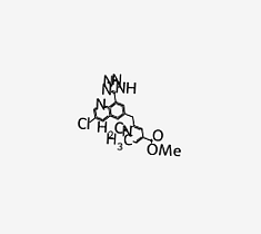 C=N/C(=C\C(=C/C)C(=O)OC)Cc1cc(-c2nnn[nH]2)c2ncc(Cl)cc2c1